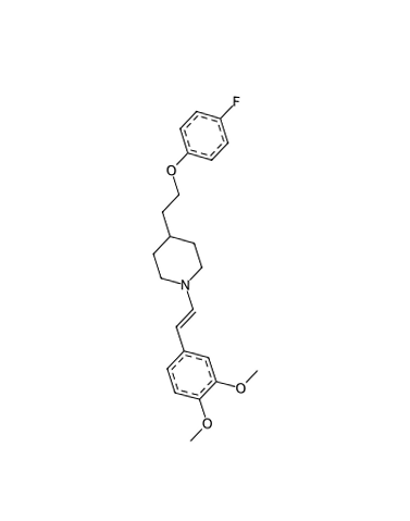 COc1ccc(C=CN2CCC(CCOc3ccc(F)cc3)CC2)cc1OC